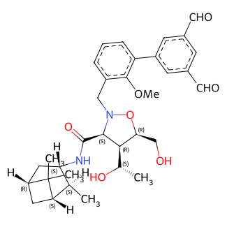 COc1c(CN2O[C@@H](CO)[C@@H]([C@H](C)O)[C@H]2C(=O)N[C@H]2C[C@H]3C[C@@H]([C@@H]2C)C3(C)C)cccc1-c1cc(C=O)cc(C=O)c1